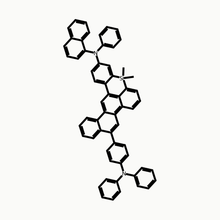 C[Si]1(C)c2cc(N(c3ccccc3)c3cccc4ccccc34)ccc2-c2cc3c4ccccc4c(-c4ccc(N(c5ccccc5)c5ccccc5)cc4)cc3c3cccc1c23